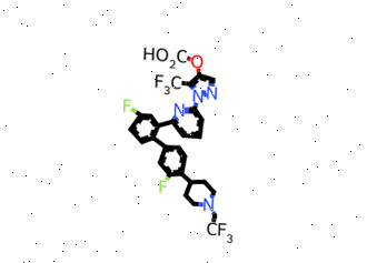 O=C(O)Oc1cnn(-c2cccc(-c3cc(F)ccc3-c3ccc(C4CCN(CC(F)(F)F)CC4)c(F)c3)n2)c1C(F)(F)F